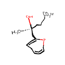 C[C@](O)(CC(=O)O)c1ccco1